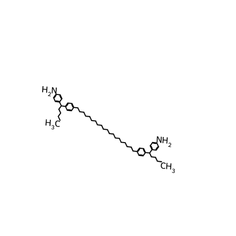 CCCCCC(c1ccc(N)cc1)c1ccc(CCCCCCCCCCCCCCCCCCCCc2ccc(C(CCCCC)c3ccc(N)cc3)cc2)cc1